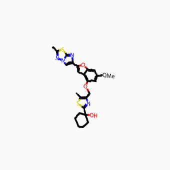 COc1cc(OCc2nc(C3(O)CCCCC3)sc2C)c2cc(-c3cn4nc(C)sc4n3)oc2c1